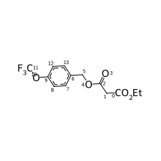 CCOC(=O)CC(=O)OCc1ccc(OC(F)(F)F)cc1